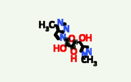 Cc1ncnc2c1ccn2[C@@H]1O[C@H](C(O)c2cnn(C)c2)[C@@H](O)[C@H]1O